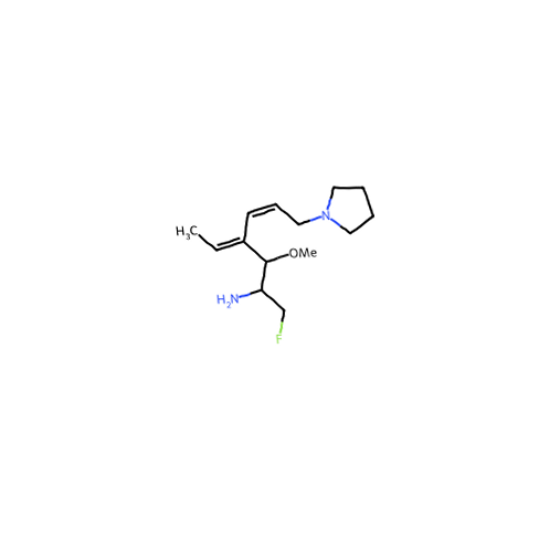 C/C=C(\C=C/CN1CCCC1)C(OC)C(N)CF